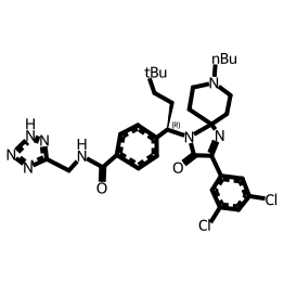 CCCCN1CCC2(CC1)N=C(c1cc(Cl)cc(Cl)c1)C(=O)N2[C@H](CCC(C)(C)C)c1ccc(C(=O)NCc2nn[nH]n2)cc1